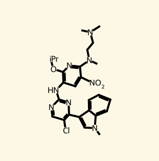 CC(C)Oc1nc(N(C)CCN(C)C)c([N+](=O)[O-])cc1Nc1ncc(Cl)c(-c2cn(C)c3ccccc23)n1